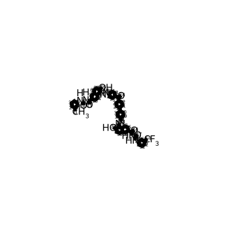 Cc1cccc(NC(=O)NC(=O)c2ccc3c(N=Nc4ccc(C(=O)c5ccc(-c6ccc(N=Nc7c(O)ccc8cc(C(=O)NC(=O)Nc9cccc(C(F)(F)F)c9)ccc78)cc6)cc5)cc4)c(O)ccc3c2)c1